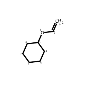 C=[C]OC1CCCCC1